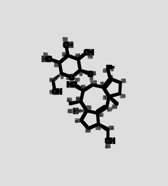 CC(C)C1=C2[C@@H](O[C@H]3O[C@H](CO)C(O)C(O)C3O)[C@H](O)[C@H](C)[C@@H]3CC[C@H](CO)/C3=C/[C@@]2(C)CC1